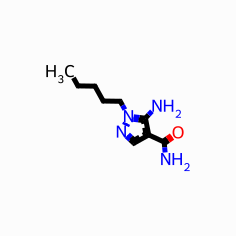 CCCCCn1ncc(C(N)=O)c1N